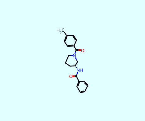 Cc1ccc(C(=O)N2CCC[C@@H](NC(=O)c3ccccc3)C2)cc1